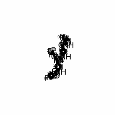 CN(C)CC1(S(=O)(=O)NC(=O)c2ccc(Nc3nc(OCC(F)(F)F)nc(N4CCC(NS(=O)(=O)c5ccc(F)cc5)CC4)n3)cc2)CC1